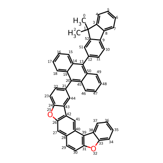 CC1(C)c2ccccc2-c2ccc(-c3c4ccccc4c(-c4ccc5oc6cc7ccc8oc9ccccc9c8c7cc6c5c4)c4ccccc34)cc21